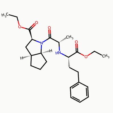 CCOC(=O)[C@H](CCc1ccccc1)N[C@@H](C)C(=O)N1[C@H](C(=O)OCC)C[C@@H]2CCC[C@@H]21